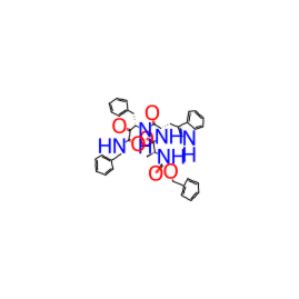 C[C@H](NC(=O)OCc1ccccc1)C(=O)N[C@@H](Cc1c[nH]c2ccccc12)C(=O)N[C@@H](Cc1ccccc1)C(=O)C(=O)NCc1ccccc1